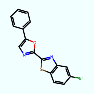 Brc1ccc2sc(-c3ncc(-c4ccccc4)o3)nc2c1